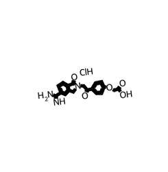 Cl.N=C(N)c1ccc2c(c1)CN(CC(=O)c1ccc(OCC(=O)O)cc1)C2=O